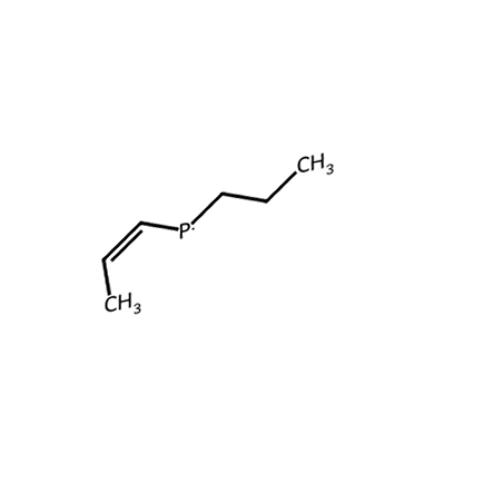 C/C=C\[P]CCC